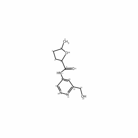 CC1CCC(C(=O)Nc2cnnc(CO)c2)O1